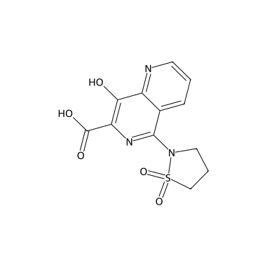 O=C(O)c1nc(N2CCCS2(=O)=O)c2cccnc2c1O